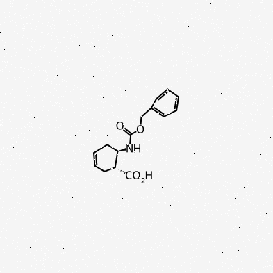 O=C(N[C@@H]1CC=CC[C@H]1C(=O)O)OCc1ccccc1